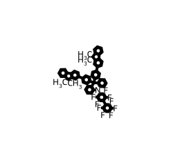 CC1(C)c2ccccc2-c2ccc(-c3ccc(C4(c5ccc(-c6ccc7c(c6)C(C)(C)c6ccccc6-7)cc5)c5ccccc5N(c5c(F)c(F)c(-c6c(F)c(F)c(F)c(F)c6F)c(F)c5F)c5ccccc54)cc3)cc21